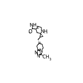 Cc1nnc2n1CC[C@@H](CC1CC13CC(C(N)=O)CCN3)C2